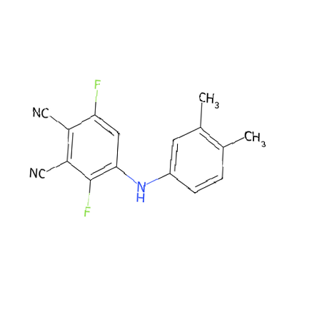 Cc1ccc(Nc2cc(F)c(C#N)c(C#N)c2F)cc1C